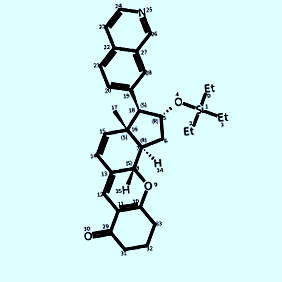 CC[Si](CC)(CC)O[C@@H]1C[C@H]2[C@@H]3OC4=C(C=C3C=C[C@]2(C)[C@H]1c1ccc2ccncc2c1)C(=O)CCC4